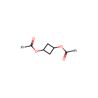 CC(C)C(=O)OC1CC(OC(=O)C(C)C)C1